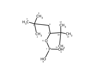 CC(C)(C)CC(OP(O)O)C(C)(C)C